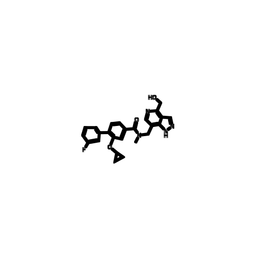 CN(Cc1cnc(CO)c2cn[nH]c12)C(=O)c1ccc(-c2cccc(F)c2)c(OC2CC2)c1